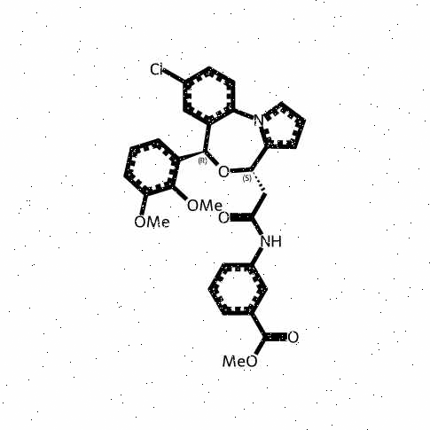 COC(=O)c1cccc(NC(=O)C[C@@H]2O[C@@H](c3cccc(OC)c3OC)c3cc(Cl)ccc3-n3cccc32)c1